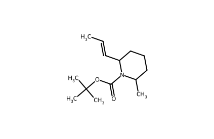 CC=CC1CCCC(C)N1C(=O)OC(C)(C)C